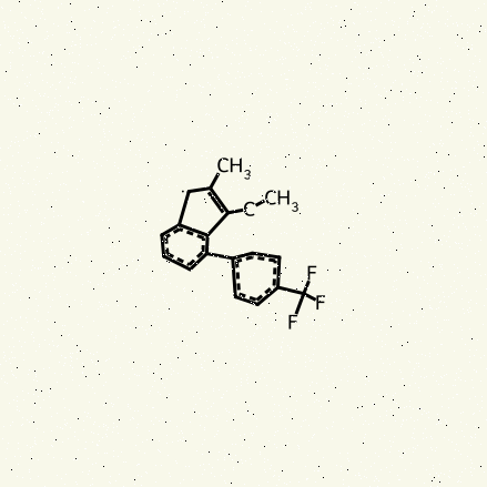 CCC1=C(C)[CH]c2cccc(-c3ccc(C(F)(F)F)cc3)c21